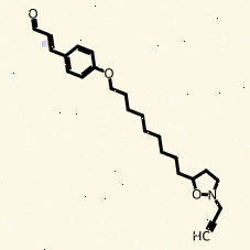 C#CCN1CCC(CCCCCCCCCOc2ccc(/C=C/C=O)cc2)O1